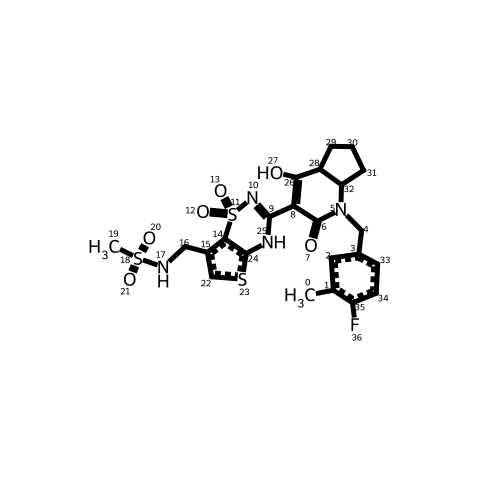 Cc1cc(CN2C(=O)C(C3=NS(=O)(=O)c4c(CNS(C)(=O)=O)csc4N3)=C(O)C3CCCC32)ccc1F